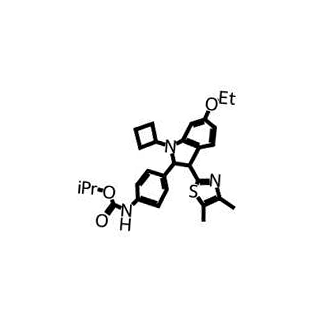 CCOc1ccc2c(c1)N(C1CCC1)C(c1ccc(NC(=O)OC(C)C)cc1)C2c1nc(C)c(C)s1